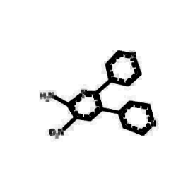 Nc1nc(-c2ccncc2)c(-c2ccncc2)cc1[N+](=O)[O-]